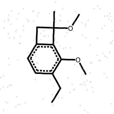 CCc1ccc2c(c1OC)C(C)(OC)C2